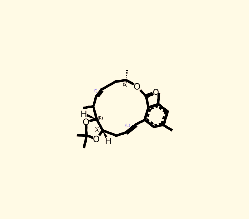 Cc1cc(C)c2c(c1)/C=C/C[C@@H]1OC(C)(C)O[C@@H]1C(C)/C=C\C[C@H](C)OC2=O